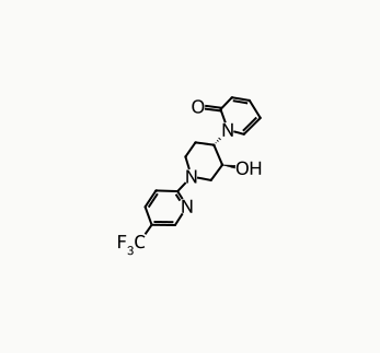 O=c1ccccn1[C@H]1CCN(c2ccc(C(F)(F)F)cn2)C[C@@H]1O